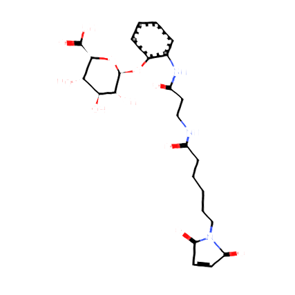 O=C(CCCCCN1C(=O)C=CC1=O)NCCC(=O)Nc1ccccc1O[C@@H]1O[C@H](C(=O)O)[C@@H](O)[C@H](O)[C@H]1O